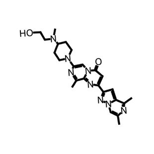 Cc1cn2nc(-c3cc(=O)n4cc(N5CCC(N(C)CCO)CC5)nc(C)c4n3)cc2c(C)n1